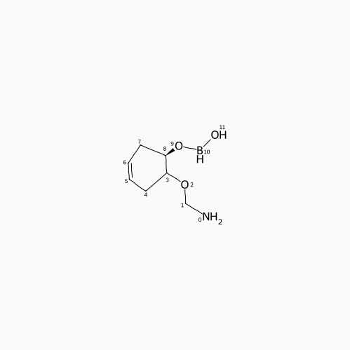 NCOC1CC=CC[C@H]1OBO